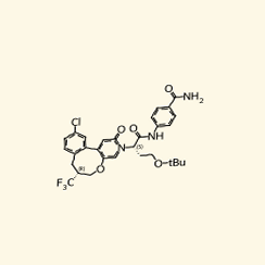 CC(C)(C)OCC[C@@H](C(=O)Nc1ccc(C(N)=O)cc1)n1cc2c(cc1=O)-c1cc(Cl)ccc1C[C@@H](C(F)(F)F)CO2